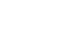 O=S.O=S.OO